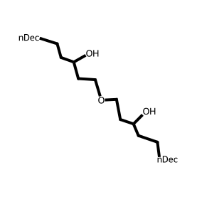 CCCCCCCCCCCCC(O)CCOCCC(O)CCCCCCCCCCCC